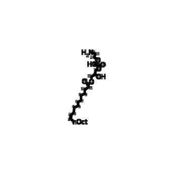 CCCCCCCC/C=C\CCCCCCCCCC(=O)OCC(O)COP(=O)(O)OCCN